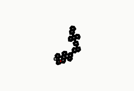 c1ccc2cc(-c3c4ccccc4c(-c4ccc(-c5cccc6cc(-c7ccc8c(-c9c%10ccccc%10c(-c%10cccc%11oc%12ccccc%12c%10%11)c%10ccccc9%10)cccc8c7)ccc56)cc4)c4ccccc34)ccc2c1